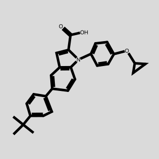 CC(C)(C)c1ccc(-c2ccc3c(c2)cc(C(=O)O)n3-c2ccc(OC3CC3)cc2)cc1